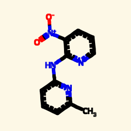 Cc1cccc(Nc2ncccc2[N+](=O)[O-])n1